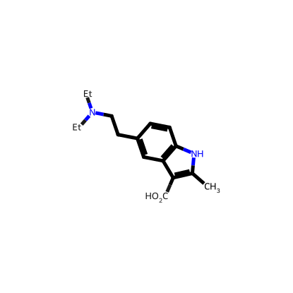 CCN(CC)CCc1ccc2[nH]c(C)c(C(=O)O)c2c1